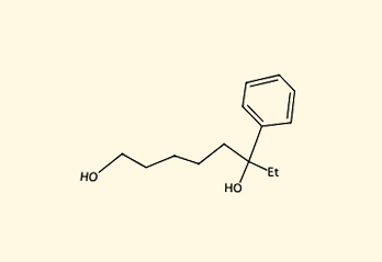 CCC(O)(CCCCCO)c1ccccc1